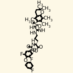 Cc1c(C)c(S(=O)(=O)NC(=N)NCCC[C@@H](NS(=O)(=O)c2cc(F)c(Oc3ccc(F)cc3)c(F)c2)C(=O)O)c(C)c2c1OC(C)(C)CC2